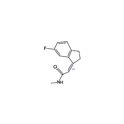 CNC(=O)/C=C1/CCc2ccc(F)cc21